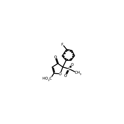 CS(=O)(=O)C1(c2cccc(F)c2)OC(C(=O)O)=CC1=O